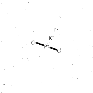 [Cl][Pt][Cl].[I-].[K+]